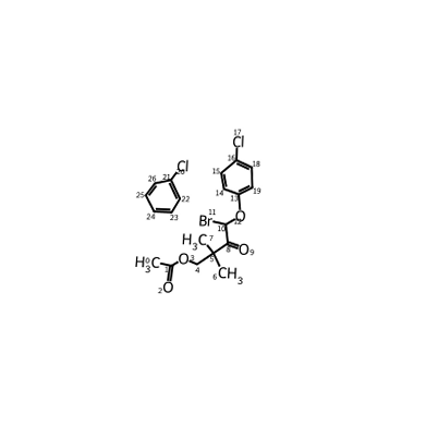 CC(=O)OCC(C)(C)C(=O)C(Br)Oc1ccc(Cl)cc1.Clc1ccccc1